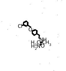 CC(C)(NCCc1ccc(OCc2cccc(Cl)c2)cc1)C(N)=O